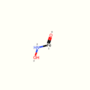 [O]=[Fe][NH]O